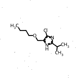 CCCCOCc1[nH]c(C(C)C)nc1Cl